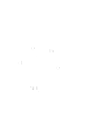 CCOc1cc(C(C)N)c(Cl)c(OCC)c1Br